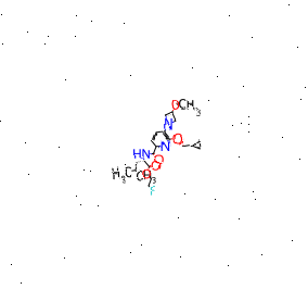 COC1CN(c2ccc(C(=O)N[C@@H](CC(C)C)C(=O)OCCF)nc2OCC2CC2)C1